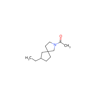 CCC1CCC2(CCN(C(C)=O)C2)C1